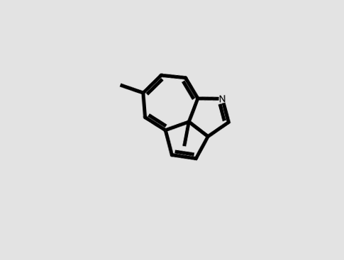 CC1=CC=C2N=CC3C=CC(=C1)C23C